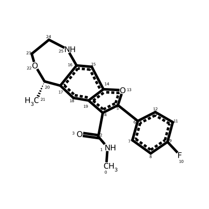 CNC(=O)c1c(-c2ccc(F)cc2)oc2cc3c(cc12)[C@H](C)OCCN3